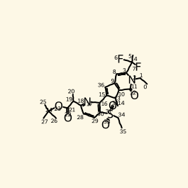 CCn1c(C(C)(F)F)cc2c(c1=O)C(C)C(c1nc(C(C)C(=O)OC(C)(C)C)ccc1S(=O)(=O)CC)=C2